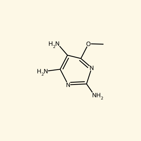 COc1nc(N)nc(N)c1N